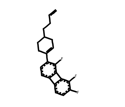 C=CCCC1CC=C(c2ccc3c(c2F)-c2c-3ccc(F)c2F)CC1